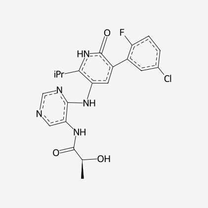 CC(C)c1[nH]c(=O)c(-c2cc(Cl)ccc2F)cc1Nc1ncncc1NC(=O)[C@H](C)O